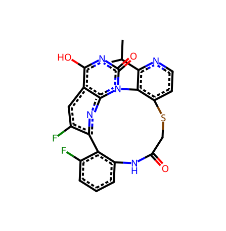 CC(C)c1nccc2c1-n1c(=O)nc(O)c3cc(F)c(nc31)-c1c(F)cccc1NC(=O)CS2